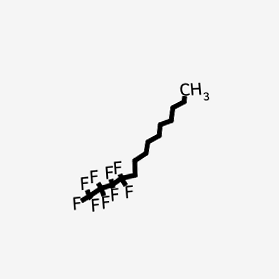 CCCCCCCCCCC(F)(F)C(F)(F)C(F)(F)C(F)(F)F